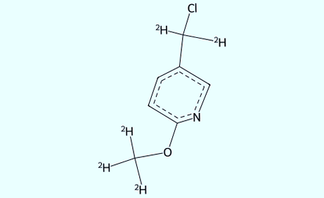 [2H]C([2H])([2H])Oc1ccc(C([2H])([2H])Cl)cn1